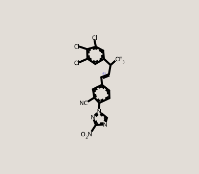 N#Cc1cc(/C=C/C(c2cc(Cl)c(Cl)c(Cl)c2)C(F)(F)F)ccc1-n1cnc([N+](=O)[O-])n1